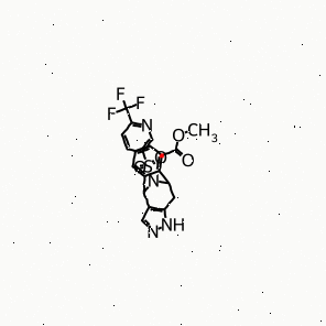 COC(=O)c1cccc2c1C1Cc3[nH]ncc3C2N1S(=O)(=O)c1ccc(C(F)(F)F)nc1